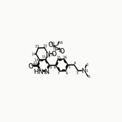 CN(C)CCc1ccc(-c2n[nH]c(=O)c3c2N(OS(C)(=O)=O)CCC3)cc1